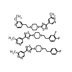 COc1cc(CCN2CCN(c3nc(-c4cnnc(C)c4)ns3)CC2)ccn1.Cc1cc(-c2nsc(N3CCN(CCc4ccc(F)c(F)c4)CC3)n2)cnn1.Cc1cc(-c2nsc(N3CCN(CCc4ccc(F)cc4)CC3)n2)cnn1